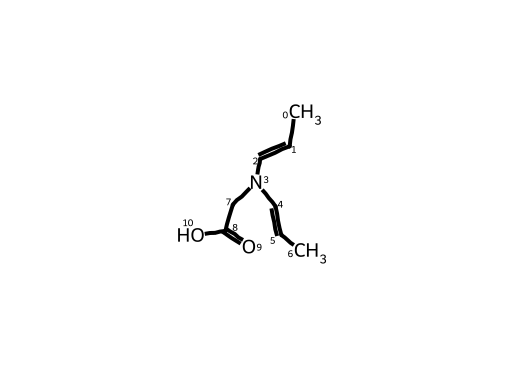 CC=CN(C=CC)CC(=O)O